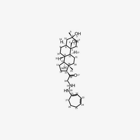 C[C@@]1(O)CC[C@@]2(CO)[C@@H](CC[C@H]3[C@@H]4CC[C@H](C(=O)CNNC5=CC=CCCC5)[C@@]4(C)CC[C@@H]32)C1